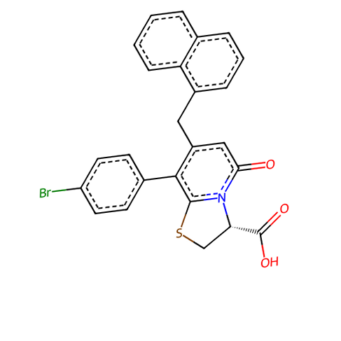 O=C(O)[C@@H]1CSc2c(-c3ccc(Br)cc3)c(Cc3cccc4ccccc34)cc(=O)n21